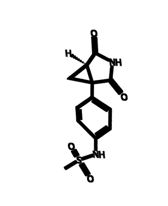 CS(=O)(=O)Nc1ccc(C23C[C@H]2C(=O)NC3=O)cc1